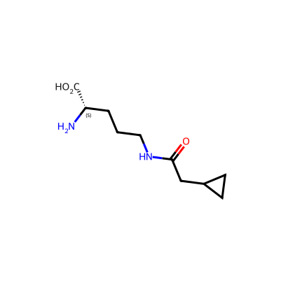 N[C@@H](CCCNC(=O)CC1CC1)C(=O)O